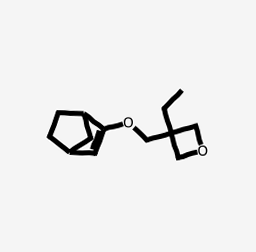 CCC1(COC2=CC3CCC2C3)COC1